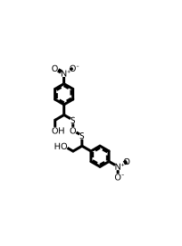 O=[N+]([O-])c1ccc(C(CO)SOSC(CO)c2ccc([N+](=O)[O-])cc2)cc1